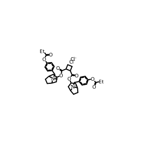 CCC(=O)Oc1ccc(C[N+]2(C)C3CCC2CC(OC(=O)C2CCC2C(=O)OC2CC4CCC(C2)[N+]4(C)Cc2ccc(OC(=O)CC)cc2)C3)cc1.[Cl-].[Cl-]